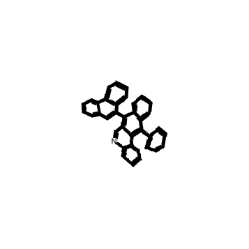 c1ccc(-c2c3ccccc3c(-c3cc4ccccc4c4ccccc34)c3cnc4ccccc4c23)cc1